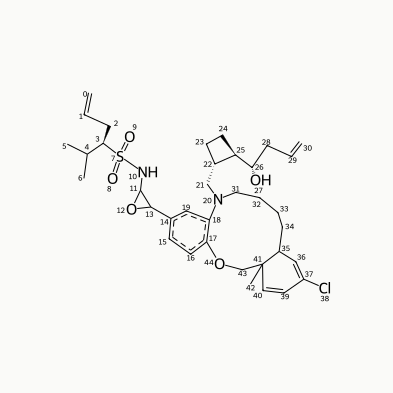 C=CC[C@H](C(C)C)S(=O)(=O)NC1OC1c1ccc2c(c1)N(C[C@@H]1CC[C@H]1[C@@H](O)CC=C)CCCCC1C=C(Cl)C=CC1(C)CO2